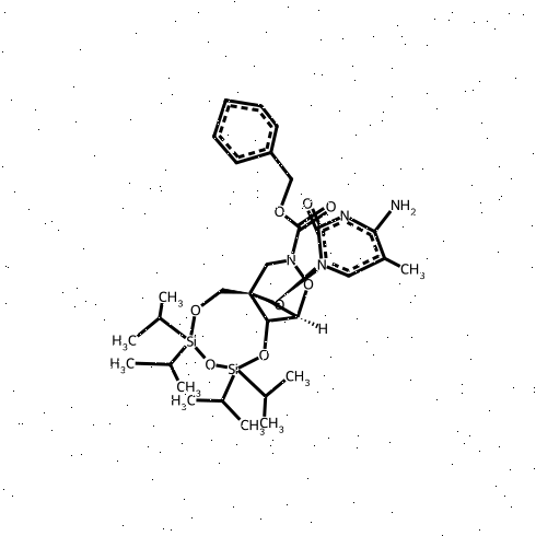 Cc1cn([C@@H]2O[C@]34CO[Si](C(C)C)(C(C)C)O[Si](C(C)C)(C(C)C)OC3[C@@H]2ON(C(=O)OCc2ccccc2)C4)c(=O)nc1N